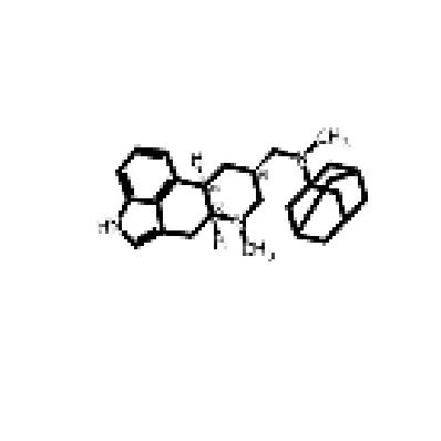 CN1C[C@H](CN(C)C23CC4CC(CC(C4)C2)C3)C[C@@H]2c3cccc4[nH]cc(c34)C[C@H]21